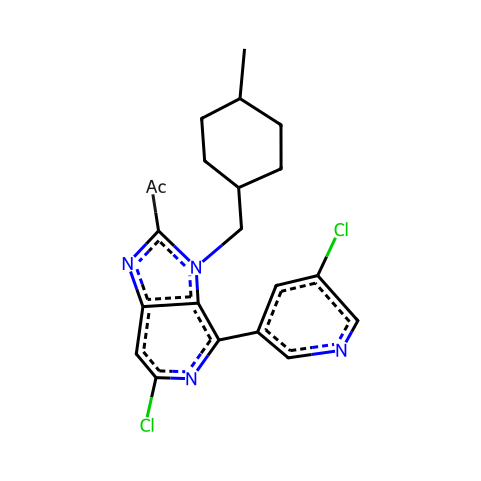 CC(=O)c1nc2cc(Cl)nc(-c3cncc(Cl)c3)c2n1CC1CCC(C)CC1